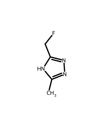 Cc1nnc(CF)[nH]1